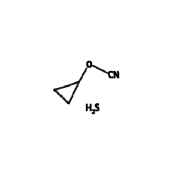 N#COC1CC1.S